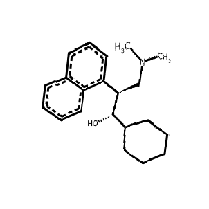 CN(C)C[C@H](c1cccc2ccccc12)[C@@H](O)C1CCCCC1